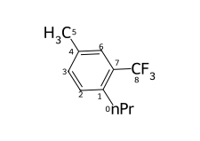 CCCc1ccc(C)cc1C(F)(F)F